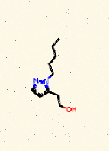 CCCCCn1nccc1CCO